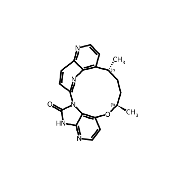 C[C@@H]1CC[C@@H](C)c2ccnc3ccc(nc23)-n2c(=O)[nH]c3nccc(c32)O1